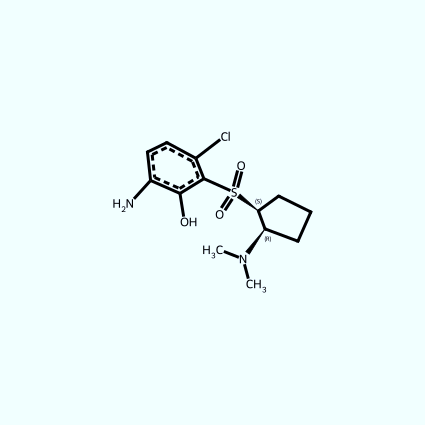 CN(C)[C@@H]1CCC[C@@H]1S(=O)(=O)c1c(Cl)ccc(N)c1O